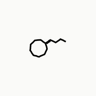 CCCC=C1CCCCCCCC1